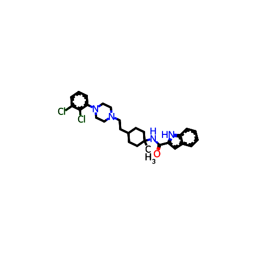 CC1(NC(=O)c2cc3ccccc3[nH]2)CCC(CCN2CCN(c3cccc(Cl)c3Cl)CC2)CC1